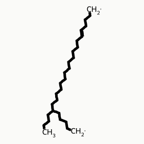 [CH2]CCCC=CCCCCCCCCCCCCCC(CCCC)CCCC[CH2]